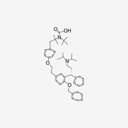 CC(C)N(CC[C@H](c1ccccc1)c1cc(CCOc2ccc(CC(C)(C)N(C(=O)O)C(C)(C)C)cc2)ccc1OCc1ccccc1)C(C)C